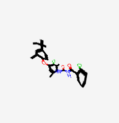 Cc1cc(C(C)(C)C)ccc1Oc1cc(C)c(NC(=O)NC(=O)c2ccccc2Cl)c(C)c1Cl